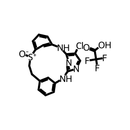 O=C(O)C(F)(F)F.[O-][S+]1CCc2cccc(c2)Nc2ncc(Cl)c(n2)Nc2cccc1c2